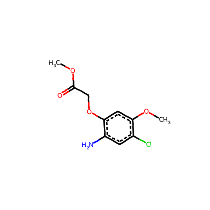 COC(=O)COc1cc(OC)c(Cl)cc1N